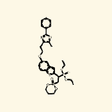 CCOP(=O)(OCC)C(CP1(=O)OCCCO1)c1cc2cc(OCCc3nc(-c4ccccc4)oc3C)ccc2s1